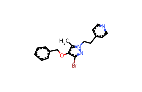 Cc1c(OCc2ccccc2)c(Br)nn1CCc1ccncc1